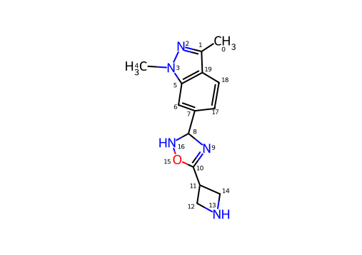 Cc1nn(C)c2cc(C3N=C(C4CNC4)ON3)ccc12